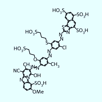 COc1ccc2nc3c(C#N)c(C)c(N=Nc4cc(C)c(N=Nc5cc(Cl)c(N=Nc6nc7c(S(=O)(=O)O)cc8c(S(=O)(=O)O)cc(S(=O)(=O)O)cc8c7s6)cc5SCCCS(=O)(=O)O)cc4OCCCS(=O)(=O)O)c(O)n3c2c1S(=O)(=O)O